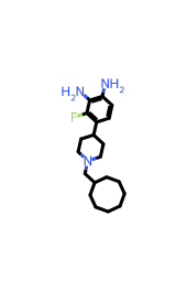 Nc1ccc(C2CCN(CC3CCCCCCC3)CC2)c(F)c1N